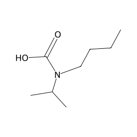 CCCCN(C(=O)O)C(C)C